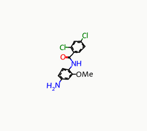 COc1cc(N)ccc1NC(=O)c1ccc(Cl)cc1Cl